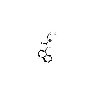 O=[C]CNC(=O)Nc1cccc2ccccc12